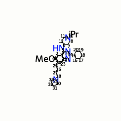 COc1cc2c(NC3CCN(C(C)C)CC3)nc(C3CCCCC3)nc2cc1CCCCN1CCCC1